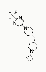 FC(F)(F)c1ncc(N2CCC(CC3CCN(C4CCC4)CC3)CC2)cn1